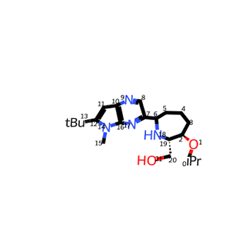 CC(C)O[C@@H]1CCCC(c2cnc3cc(C(C)(C)C)n(C)c3n2)N[C@H]1CO